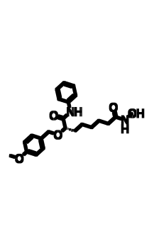 COc1ccc(CO[C@@H](CCCCCC(=O)NO)C(=O)Nc2ccccc2)cc1